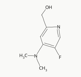 CN(C)c1cc(CO)ncc1F